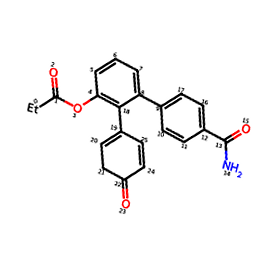 CCC(=O)Oc1cccc(-c2ccc(C(N)=O)cc2)c1C1=CCC(=O)C=C1